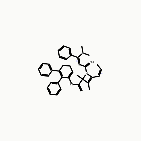 C=C(NC1=CCCC(c2ccccc2)=C1c1ccccc1)C1(C)C(C)=C(/C=C\C)N1C(=N)/N=C(/c1ccccc1)N(C)C